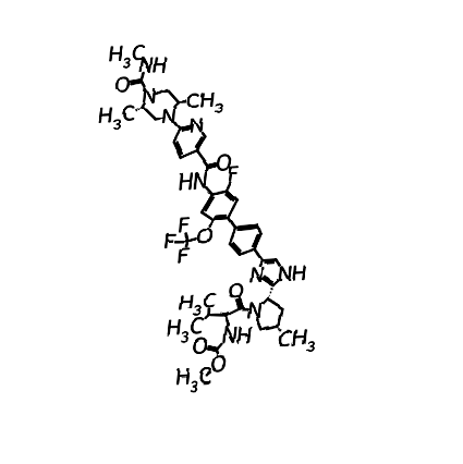 CNC(=O)N1C[C@@H](C)N(c2ccc(C(=O)Nc3cc(OC(F)(F)F)c(-c4ccc(-c5c[nH]c([C@@H]6C[C@H](C)CN6C(=O)[C@@H](NC(=O)OC)C(C)C)n5)cc4)cc3F)cn2)C[C@@H]1C